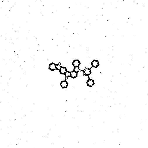 c1ccc(-c2cc(-c3ccccc3)nc(-n3c4ccccc4c4c5c6cc7oc8ccccc8c7cc6n(-c6ccccc6)c5ccc43)n2)cc1